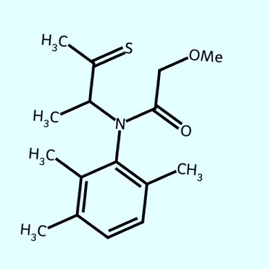 COCC(=O)N(c1c(C)ccc(C)c1C)C(C)C(C)=S